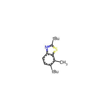 Cc1c(C(C)(C)C)ccc2nc(C(C)(C)C)sc12